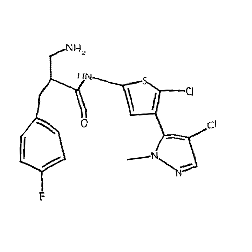 Cn1ncc(Cl)c1-c1cc(NC(=O)C(CN)Cc2ccc(F)cc2)sc1Cl